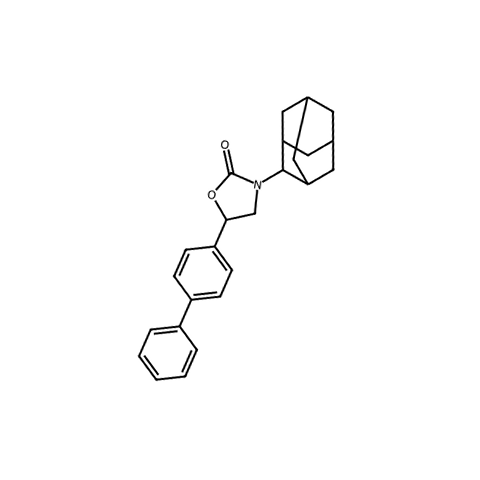 O=C1OC(c2ccc(-c3ccccc3)cc2)CN1C1C2CC3CC(C2)CC1C3